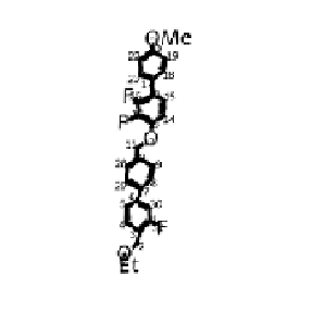 CCOCc1ccc(-c2ccc(COc3ccc(-c4ccc(OC)cc4)c(F)c3F)cc2)cc1F